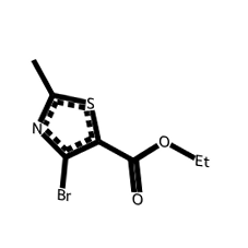 CCOC(=O)c1sc(C)nc1Br